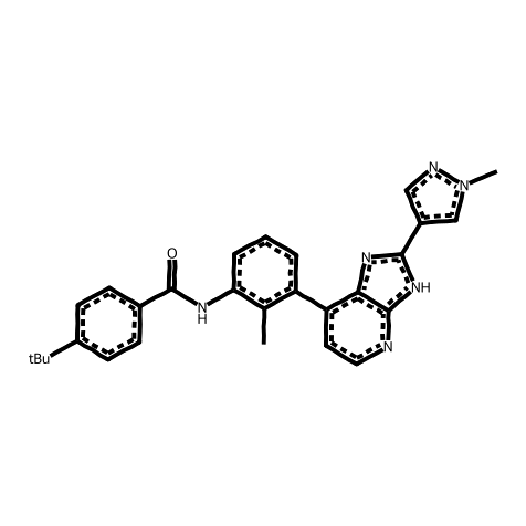 Cc1c(NC(=O)c2ccc(C(C)(C)C)cc2)cccc1-c1ccnc2[nH]c(-c3cnn(C)c3)nc12